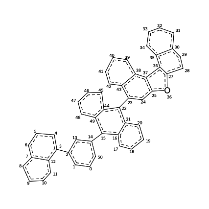 c1cc(-c2cccc3ccccc23)cc(-c2c3ccccc3c(-c3cc4oc5ccc6ccccc6c5c4c4ccccc34)c3ccccc23)c1